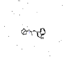 C/C(Cc1c[nH]c2ccccc12)=N\C12CCC(C1)C2